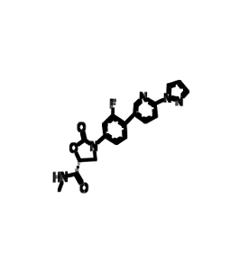 CNC(=O)[C@H]1CN(c2ccc(-c3ccc(-n4cccn4)nc3)c(F)c2)C(=O)O1